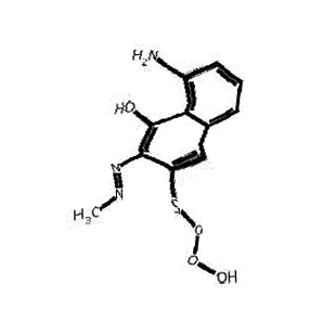 C/N=N/c1c(SOOO)cc2cccc(N)c2c1O